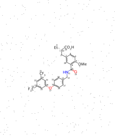 CC[C@@H](Cc1ccc(OC)c(C(=O)NCc2ccc(Oc3cc(C(F)(F)F)cc(C(F)(F)F)c3)cc2)c1)C(=O)O